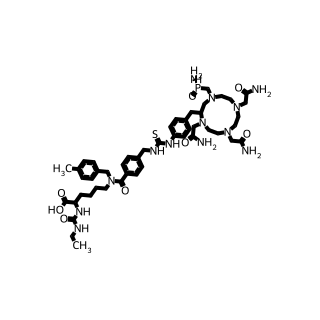 CCNC(=O)NC(CCCCN(Cc1ccc(C)cc1)C(=O)c1ccc(CNC(=S)Nc2ccc(CC3CN(C[PH](N)=O)CCN(CC(N)=O)CCN(CC(N)=O)CCN3CC(N)=O)cc2)cc1)C(=O)O